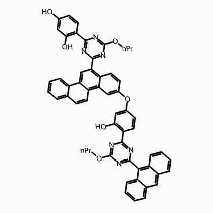 CCCOc1nc(-c2ccc(Oc3ccc4c(-c5nc(OCCC)nc(-c6ccc(O)cc6O)n5)cc5c6ccccc6ccc5c4c3)cc2O)nc(-c2c3ccccc3cc3ccccc23)n1